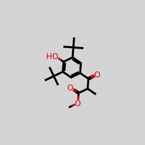 COC(=O)C(C)C(=O)c1cc(C(C)(C)C)c(O)c(C(C)(C)C)c1